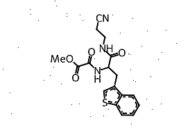 COC(=O)C(=O)NC(Cc1csc2ccccc12)C(=O)NCCC#N